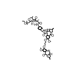 C=C1C[C@H]2C=Nc3cc(OCCCOc4cc5c(cc4OC)C(=O)N4CC(=C)C[C@H]4[C@H](O)N5C(=O)OCc4ccc(NC(=O)[C@H](C)NC(=O)[C@@H](NC(=O)CC(C)(C)OCC)C(C)C)cc4)c(OC)cc3C(=O)N2C1